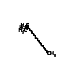 CCCCCCCCCCCCCCCCCCCCCC(N)(CC)CC